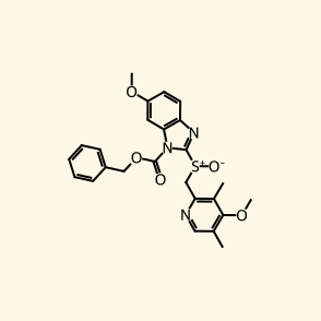 COc1ccc2nc([S+]([O-])Cc3ncc(C)c(OC)c3C)n(C(=O)OCc3ccccc3)c2c1